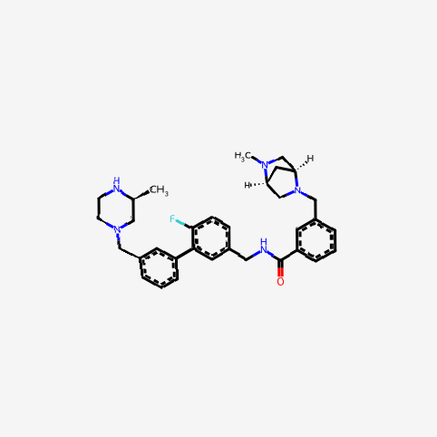 C[C@H]1CN(Cc2cccc(-c3cc(CNC(=O)c4cccc(CN5C[C@@H]6C[C@H]5CN6C)c4)ccc3F)c2)CCN1